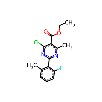 CCOC(=O)c1c(C)nc(-c2c(C)cccc2F)nc1Cl